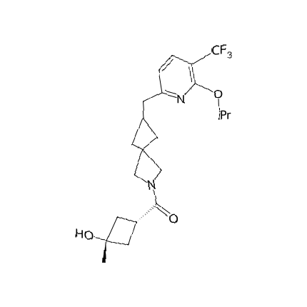 CC(C)Oc1nc(CC2CC3(C2)CN(C(=O)[C@H]2C[C@@](C)(O)C2)C3)ccc1C(F)(F)F